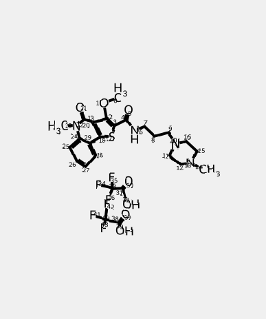 COc1c(C(=O)NCCCN2CCN(C)CC2)sc2c1c(=O)n(C)c1ccccc21.O=C(O)C(F)(F)F.O=C(O)C(F)(F)F